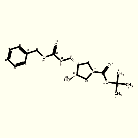 CC(C)(C)OC(=O)N1C[C@@H](CNC(=O)OCc2ccccc2)[C@@H](O)C1